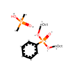 CCCCCCCCOP(=O)(OCCCCCCCC)c1ccccc1.CP(C)(=O)O